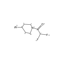 CC(C)C1CCN(C(=O)C(F)F)CC1